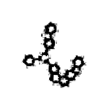 c1ccc(-c2nc(-c3ccc4c(ccc5ccc6cc7oc8ccccc8c7cc6c54)c3)nc(-c3ccc4c(c3)oc3ccccc34)n2)cc1